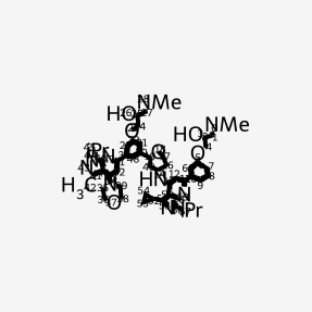 CNCC(O)COc1cccc(-c2cc(NC3CCOC(c4cc(OCC(O)CNC)cc(-c5cc(N6CCOCC6)c6c(C)nn(C(C)C)c6n5)c4)C3)c3c(C4CC4)nn(C(C)C)c3n2)c1